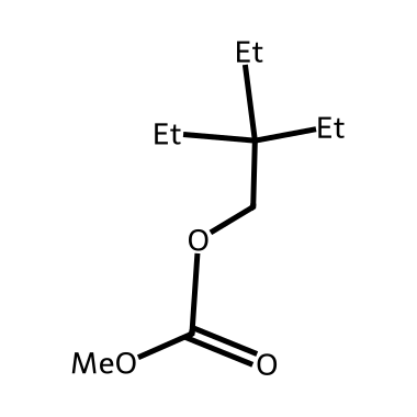 CCC(CC)(CC)COC(=O)OC